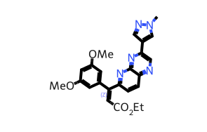 CCOC(=O)/C=C(/c1cc(OC)cc(OC)c1)c1ccc2ncc(-c3cnn(C)c3)nc2n1